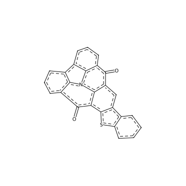 O=c1c2cccc3c4cccc5c(=O)c6c7sc8ccccc8c7cc1c6n(c23)c54